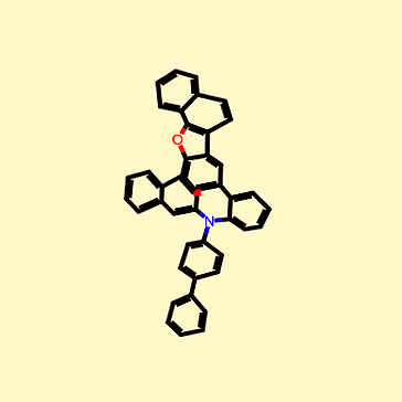 c1ccc(-c2ccc(N(c3ccc4ccccc4c3)c3ccccc3-c3ccc4oc5c6ccccc6ccc5c4c3)cc2)cc1